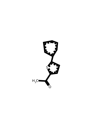 CC(=O)c1ccc(-c2cc[c]cc2)s1